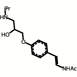 CC(=O)NC=Cc1ccc(OCC(O)CNC(C)C)cc1